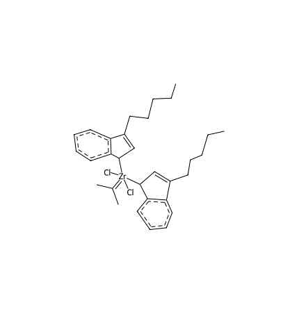 CCCCCC1=C[CH]([Zr]([Cl])([Cl])(=[C](C)C)[CH]2C=C(CCCCC)c3ccccc32)c2ccccc21